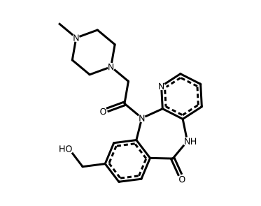 CN1CCN(CC(=O)N2c3cc(CO)ccc3C(=O)Nc3cccnc32)CC1